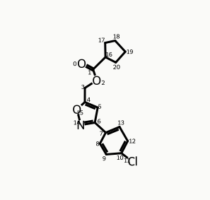 O=C(OCc1cc(-c2ccc(Cl)cc2)no1)C1CCCC1